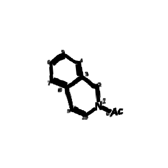 CC(=O)N1[CH]c2ccccc2C=C1